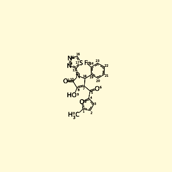 Cc1ccc(C(=O)C2=C(O)C(=O)N(c3nncs3)C2c2ccccc2F)o1